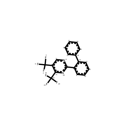 FC(F)(F)c1cnc(-c2ccccc2-c2ccccc2)nc1C(F)(F)F